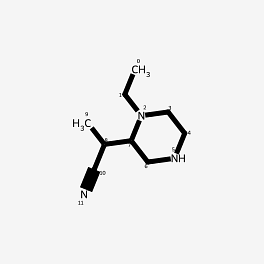 C[CH]N1CCNCC1C(C)C#N